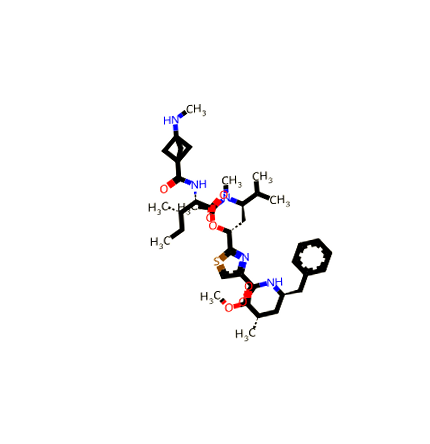 CC[C@H](C)[C@H](NC(=O)C12CC(NC)(C1)C2)C(=O)N(C)[C@H](C[C@@H](OC(C)=O)c1nc(C(=O)N[C@@H](Cc2ccccc2)C[C@H](C)C(=O)OC)cs1)C(C)C